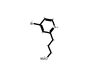 COCCCc1cc(Br)ccn1